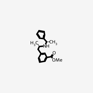 COC(=O)c1cccc(C[C@H](C)N[C@@H](C)c2ccccc2)c1